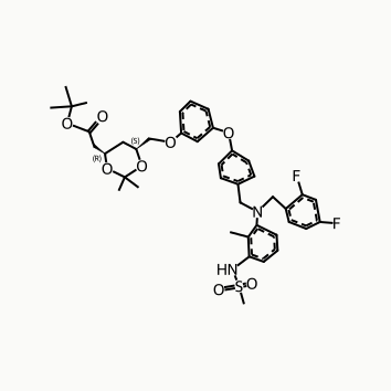 Cc1c(NS(C)(=O)=O)cccc1N(Cc1ccc(Oc2cccc(OC[C@@H]3C[C@H](CC(=O)OC(C)(C)C)OC(C)(C)O3)c2)cc1)Cc1ccc(F)cc1F